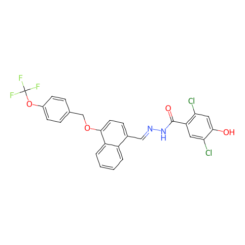 O=C(N/N=C/c1ccc(OCc2ccc(OC(F)(F)F)cc2)c2ccccc12)c1cc(Cl)c(O)cc1Cl